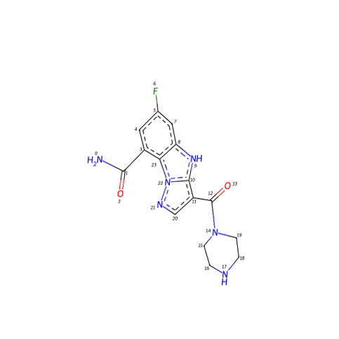 NC(=O)c1cc(F)cc2[nH]c3c(C(=O)N4CCNCC4)cnn3c12